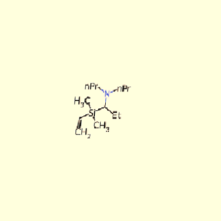 C=C[Si](C)(C)C(CC)N(CCC)CCC